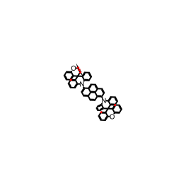 c1ccc2c(c1)Oc1ccccc1C21c2ccccc2N(c2ccc3ccc4c(N5c6ccccc6C6(c7ccccc7Oc7ccccc76)c6ccccc65)ccc5ccc2c3c54)c2ccccc21